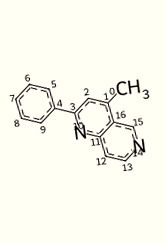 Cc1cc(-c2ccccc2)nc2ccncc12